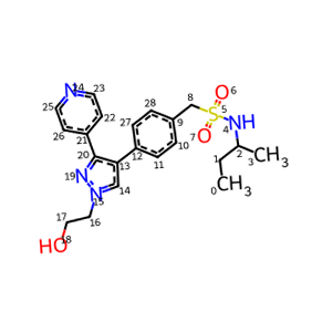 CCC(C)NS(=O)(=O)Cc1ccc(-c2cn(CCO)nc2-c2ccncc2)cc1